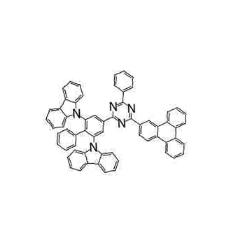 c1ccc(-c2nc(-c3cc(-n4c5ccccc5c5ccccc54)c(-c4ccccc4)c(-n4c5ccccc5c5ccccc54)c3)nc(-c3ccc4c5ccccc5c5ccccc5c4c3)n2)cc1